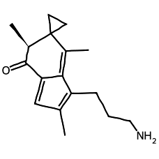 CC1=C(CCCN)C2=C(C)C3(CC3)[C@H](C)C(=O)C2=C1